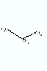 CCCC=CCCCCCCCC=C(C)C=CCCCCCCCC